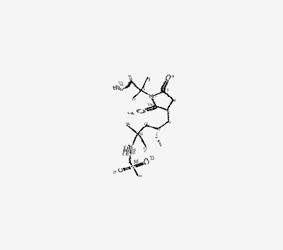 C[C@@H](CC1CC(=O)N(C(C)(C)CC(C)(C)C)C1=O)CC(C)(C)NS(C)(=O)=O